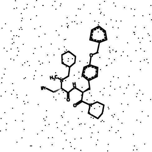 CC(C)C[C@@H](C(=O)N[C@@H](Cc1ccc(OCc2ccccc2)cc1)C(=O)N1CCCCC1)N(C)CC1CCCCC1